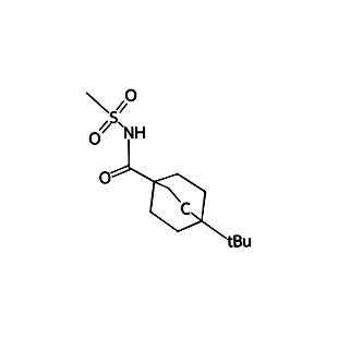 CC(C)(C)C12CCC(C(=O)NS(C)(=O)=O)(CC1)CC2